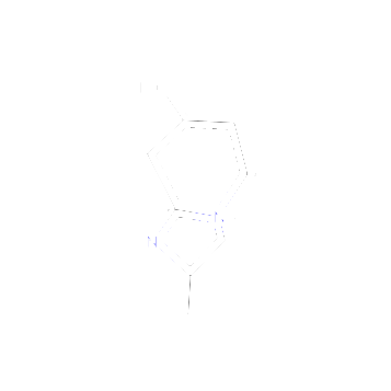 Cc1cn2ccc(C(F)(F)F)cc2n1